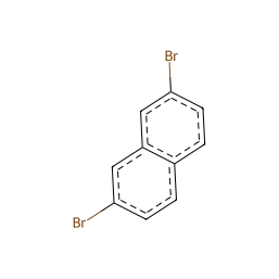 Brc1ccc2ccc(Br)cc2c1